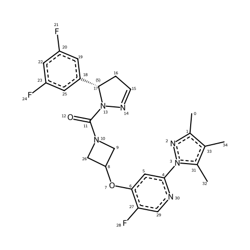 Cc1nn(-c2cc(OC3CN(C(=O)N4N=CC[C@H]4c4cc(F)cc(F)c4)C3)c(F)cn2)c(C)c1C